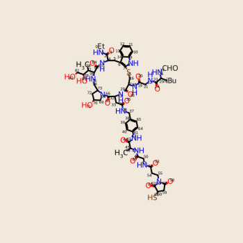 CCNC(=O)C1Cc2c([nH]c3ccccc23)SCC(NC(=O)CNC(=O)C(NC=O)C(C)CC)C(=O)NC(CC(=O)NCc2ccc(NC(=O)C(C)NC(=O)CNC(=O)CCN3C(=O)CC(S)C3=O)cc2)C(=O)N2CC(O)CC2CNC(C(C)C(O)CO)C(=O)N1